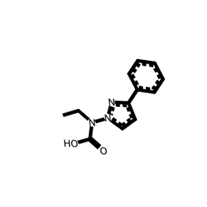 CCN(C(=O)O)n1ccc(-c2ccccc2)n1